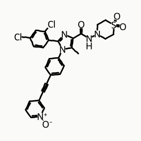 Cc1c(C(=O)NN2CCS(=O)(=O)CC2)nc(-c2ccc(Cl)cc2Cl)n1-c1ccc(C#Cc2ccc[n+]([O-])c2)cc1